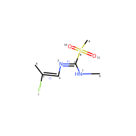 CN/C(=N\C=C(/C)F)S(C)(=O)=O